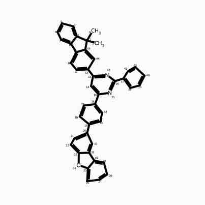 CC1(C)c2ccccc2-c2ccc(-c3cc(-c4ccc(-c5ccc6oc7ccccc7c6c5)cc4)nc(-c4ccccc4)n3)cc21